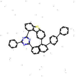 c1ccc(-c2ccc(-c3ccccc3-c3ccc4sc5cccc(-c6nc(-c7ccccc7)nc(-c7ccccc7)n6)c5c4c3)cc2)cc1